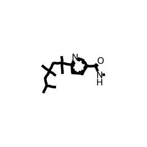 CNC(=O)c1ccc(C(C)(C)CC(C)(C)CC(C)C)nc1